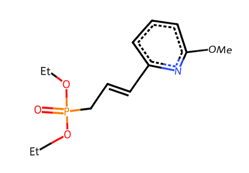 CCOP(=O)(CC=Cc1cccc(OC)n1)OCC